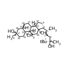 C[C@H](CC[C@@](C)(O)C(C)(C)C)[C@H]1CC[C@H]2[C@@H]3CC=C4C[C@@](C)(O)CC[C@]4(C)[C@H]3CC[C@]12C